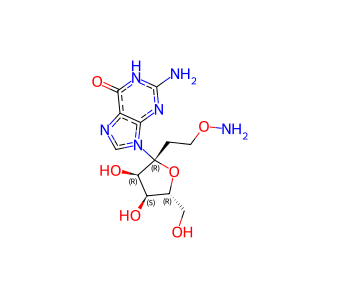 NOCC[C@@]1(n2cnc3c(=O)[nH]c(N)nc32)O[C@H](CO)[C@@H](O)[C@H]1O